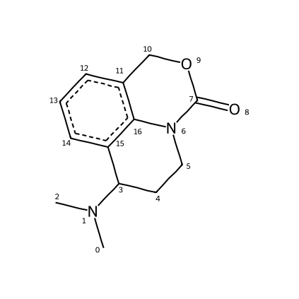 CN(C)C1CCN2C(=O)OCc3cccc1c32